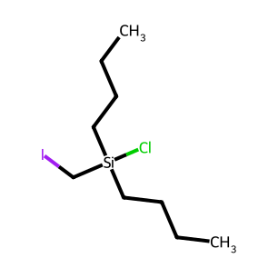 CCCC[Si](Cl)(CI)CCCC